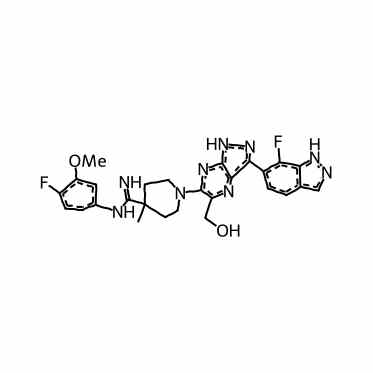 COc1cc(NC(=N)C2(C)CCN(c3nc4[nH]nc(-c5ccc6cn[nH]c6c5F)c4nc3CO)CC2)ccc1F